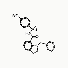 N#Cc1ccc(C2(NC(=O)c3cccc4c3N(Cc3ccccc3)CC4)CC2)cc1